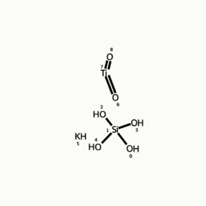 O[Si](O)(O)O.[KH].[O]=[Ti]=[O]